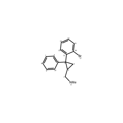 CNCC1CC1(c1ccccc1)c1ccccc1Br